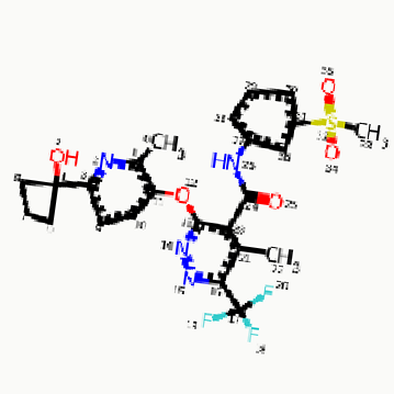 Cc1nc(C2(O)CCC2)ccc1Oc1nnc(C(F)(F)F)c(C)c1C(=O)Nc1cccc(S(C)(=O)=O)c1